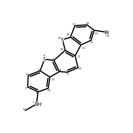 CBc1ccc2sc3c(ccc4c5cc(Br)ccc5sc43)c2c1